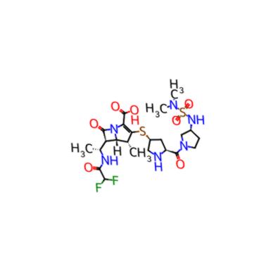 C[C@@H](NC(=O)C(F)F)[C@H]1C(=O)N2C(C(=O)O)=C(S[C@@H]3CN[C@H](C(=O)N4CC[C@H](NS(=O)(=O)N(C)C)C4)C3)[C@H](C)[C@H]12